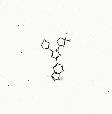 Cc1c[nH]c2ncc(-c3cc([C@H]4CCOC4)n(C4CCC(F)(F)C4)n3)cc12